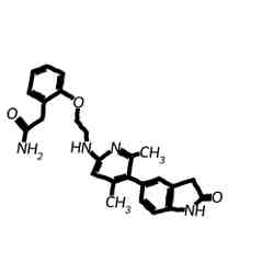 Cc1cc(NCCOc2ccccc2CC(N)=O)nc(C)c1-c1ccc2c(c1)CC(=O)N2